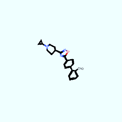 O=Cc1ccccc1-c1ccc(-c2nc(C3CCN(C4CC4)CC3)no2)cc1